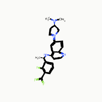 C[C@@H](Nc1ccnc2ccc(N3CC[C@@H](N(C)C)C3)cc12)c1cccc(C(F)F)c1F